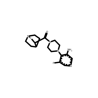 Nc1cncc(F)c1N1CCN(C(=O)C2CN3CCC2CC3)CC1